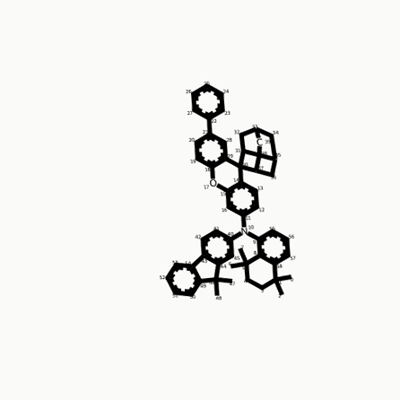 CC1(C)CCC(C)(C)c2c(N(c3ccc4c(c3)Oc3ccc(-c5ccccc5)cc3C43C4CC5CC6CC3C64C5)c3ccc4c(c3)C(C)(C)c3ccccc3-4)cccc21